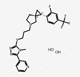 Cl.Cl.Cn1c(SCCCN2CC[C@]3(C[C@@H]3c3ccc(C(F)(F)F)cc3F)C2)nnc1-c1cccnc1